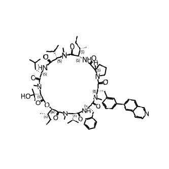 CC[C@H](C)[C@@H]1NC(=O)[C@@H]2CCCN2C(=O)[C@H](Cc2cccc(-c3ccc4cnccc4c3)c2)N(C)C(=O)[C@H](Cc2ccccc2)NC(=O)[C@H](C(C)C)N(C)C(=O)[C@@H]([C@@H](C)CC)OC(=O)[C@H](C(C)(C)O)N(C)C(=O)[C@H](CC(C)C)NC(=O)[C@H](C(C)C)N(C)C1=O